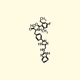 CCc1cc(F)cc(C)c1C(=O)NC(Cc1ccc(-c2nnc(CNc3nc4ccccc4[nH]3)[nH]2)cc1)C(=O)O